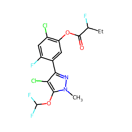 CCC(F)C(=O)Oc1cc(-c2nn(C)c(OC(F)F)c2Cl)c(F)cc1Cl